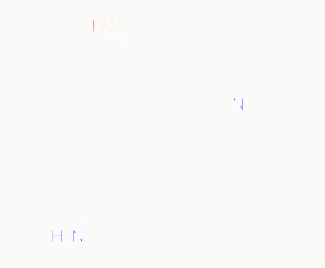 CN(CCCCO)CCCCCCN